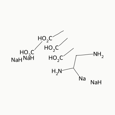 CC(=O)O.CC(=O)O.CC(=O)O.CC(=O)O.NC[CH](N)[Na].[NaH].[NaH].[NaH]